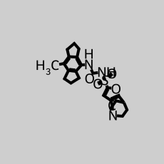 Cc1c2c(c(NC(=O)NS(=O)(=O)c3cc4c(o3)C3CCN(CC3)C4)c3c1CCC3)CCC2